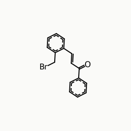 O=C(C=Cc1ccccc1CBr)c1ccccc1